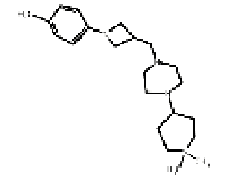 Cc1ccc(N2CC(CN3CCN(C4CC[N+](C)(C)CC4)CC3)C2)cc1